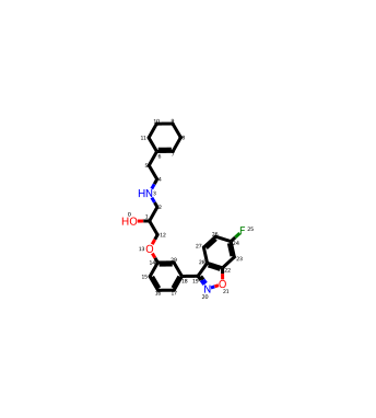 OC(CNCCC1=CCCCC1)COc1cccc(-c2noc3cc(F)ccc23)c1